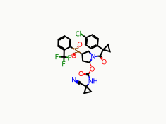 N#CC1(NC(=O)O[C@H]2C[C@@H](S(=O)(=O)c3ccccc3C(F)(F)F)CN2C(=O)C2(c3ccc(Cl)cc3)CC2)CC1